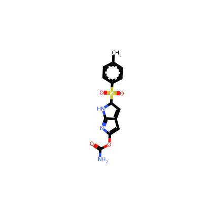 Cc1ccc(S(=O)(=O)C2C=C3C=C(OC(N)=O)N=C3N2)cc1